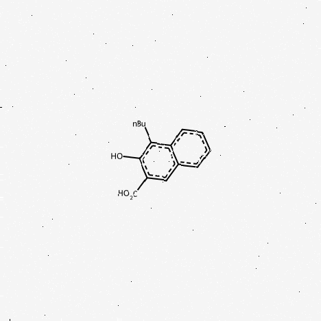 CCCCc1c(O)c(C(=O)O)cc2ccccc12